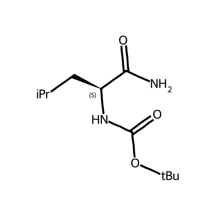 CC(C)C[C@H](NC(=O)OC(C)(C)C)C(N)=O